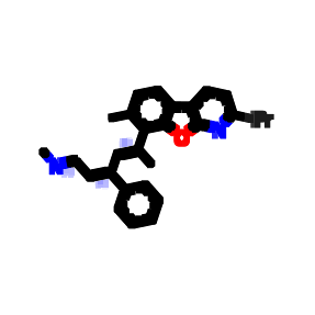 C/N=C/C=C(\C=C(/C)c1c(C)ccc2c1oc1nc(C(C)C)ccc12)c1ccccc1